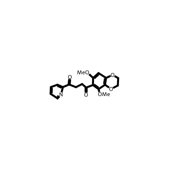 COc1cc2c(c(OC)c1C(=O)CCC(=O)c1ccccn1)OCCO2